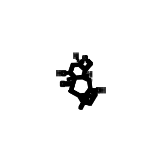 CC1=C2[CH]C(=O)[C@@]3(C)[C@H]([CH][C@](O)(C[CH]1)C2(C)C)[C]1CO[C@@H]1C[C@@H]3O